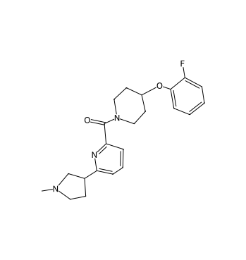 CN1CCC(c2cccc(C(=O)N3CCC(Oc4ccccc4F)CC3)n2)C1